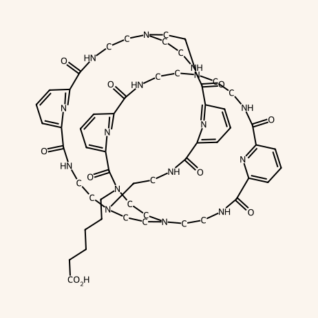 O=C(O)CCCCCN1CCN2CCNC(=O)c3cccc(n3)C(=O)NCCN(CCNC(=O)c3cccc(n3)C1=O)CCN1CCNC(=O)c3cccc(n3)C(=O)NCCN(CCNC(=O)c3cccc(n3)C(=O)NCC1)CC2